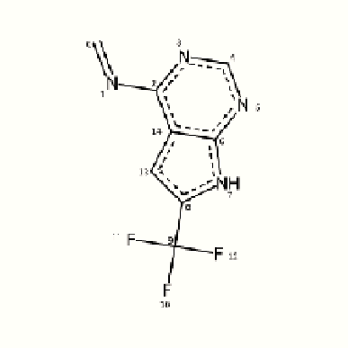 C=Nc1ncnc2[nH]c(C(F)(F)F)cc12